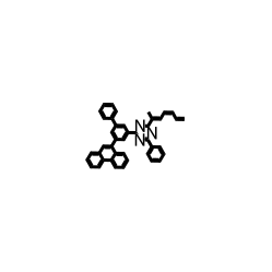 C=C/C=C\C=C(/C)c1nc(-c2ccccc2)nc(-c2cc(-c3ccccc3)cc(-c3cc4ccccc4c4ccccc34)c2)n1